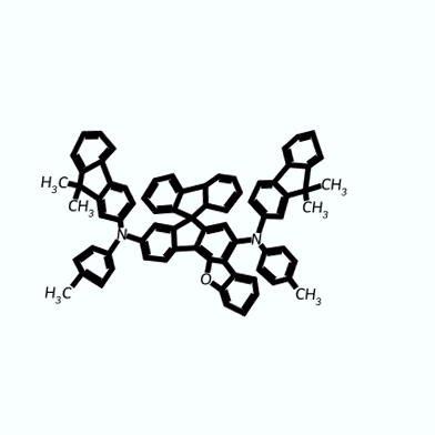 Cc1ccc(N(c2ccc3c(c2)C(C)(C)c2ccccc2-3)c2ccc3c(c2)C2(c4ccccc4C4C=CC=CC42)c2cc(N(c4ccc(C)cc4)c4ccc5c(c4)C(C)(C)c4ccccc4-5)c4c(oc5ccccc54)c2-3)cc1